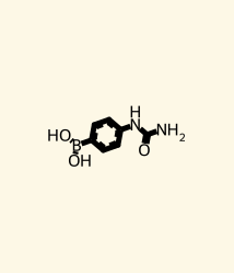 NC(=O)Nc1ccc(B(O)O)cc1